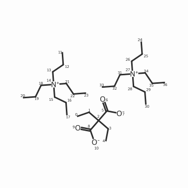 CCC(CC)(C(=O)[O-])C(=O)[O-].CCC[N+](CCC)(CCC)CCC.CCC[N+](CCC)(CCC)CCC